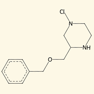 ClN1CCNC(COCc2ccccc2)C1